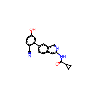 N#Cc1ccc(O)cc1-c1ccc2cc(NC(=O)C3CC3)ncc2c1